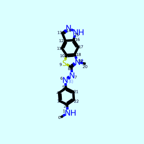 CNc1ccc(/N=N/c2sc3cc4cn[nH]c4cc3[n+]2C)cc1